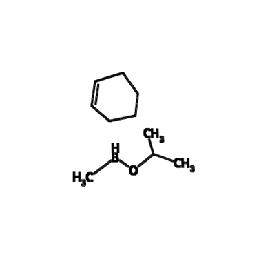 C1=CCCCC1.CBOC(C)C